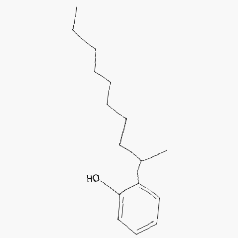 CCCCCCCCC(C)c1ccccc1O